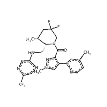 Cc1ccnc(-c2cn(C)nc2C(=O)N2CC(F)(F)C[C@@H](C)[C@H]2CNc2cnc(C(F)(F)F)cn2)c1